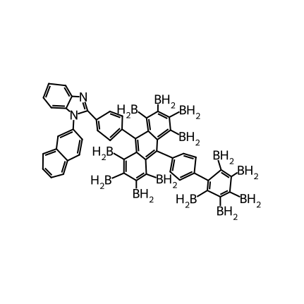 Bc1c(B)c(B)c(-c2ccc(-c3c4c(B)c(B)c(B)c(B)c4c(-c4ccc(-c5nc6ccccc6n5-c5ccc6ccccc6c5)cc4)c4c(B)c(B)c(B)c(B)c34)cc2)c(B)c1B